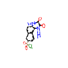 O=c1[nH]c2ccc3cc(S(=O)(=O)Cl)ccc3c2[nH]c1=O